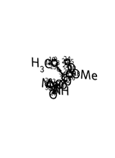 COC(=O)CC(C#Cc1cccc(C)c1)c1ccc(OC)c(OC2CCCC2)c1.O=C1NC(=O)c2ccccc21